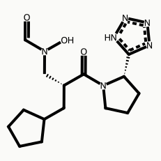 O=CN(O)C[C@@H](CC1CCCC1)C(=O)N1CCC[C@H]1c1nnn[nH]1